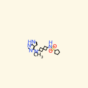 CN(c1ncnc2[nH]ccc12)C1CC2(CC(NS(=O)(=O)C3CCCC3)C2)C1